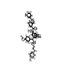 COc1ccc(C(=NOCCCN2CCN(C)CC2)c2cccc(NC(=O)c3ccn4c3CSC4c3cccnc3)c2)cc1.Cl.Cl